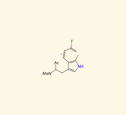 C=C(F)/C=C\c1c(CC(NC)C(C)=O)c[nH]c1C